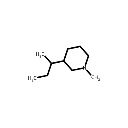 CCC(C)C1CCCN(C)C1